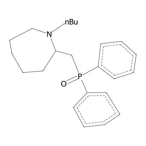 CCCCN1CCCCCC1CP(=O)(c1ccccc1)c1ccccc1